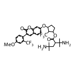 COc1ccc(-c2cc3ccc(OC4CCC(OC(=O)C(CC(C)(C)N)C(C)(C)N)C4C(F)(F)F)cc3oc2=O)c(C(F)(F)F)c1